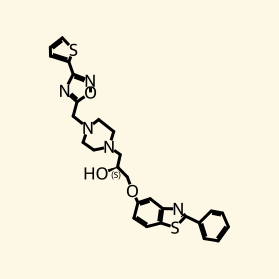 O[C@H](COc1ccc2sc(-c3ccccc3)nc2c1)CN1CCN(Cc2nc(-c3cccs3)no2)CC1